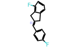 Fc1ccc(/C=C2\Cc3cccc(F)c3C2)cc1